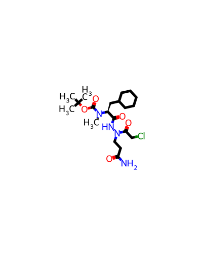 CN(C(=O)OC(C)(C)C)[C@@H](CC1CCCCC1)C(=O)NN(CCC(N)=O)C(=O)CCl